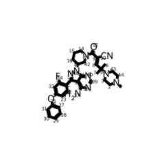 CN1CCN(C(C)(C)C=C(C#N)C(=O)N2CCC[C@H](n3nc(-c4ccc(Oc5ccccc5)cc4F)c4c(N)ncnc43)C2)CC1